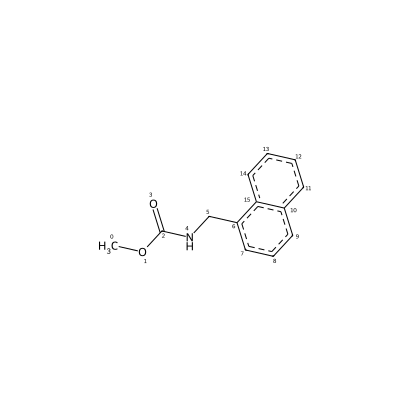 COC(=O)NCc1cccc2ccccc12